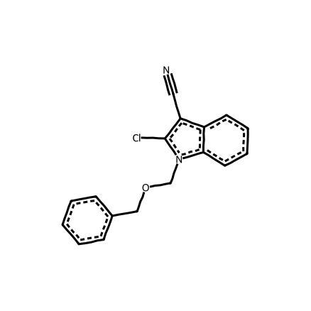 N#Cc1c(Cl)n(COCc2ccccc2)c2ccccc12